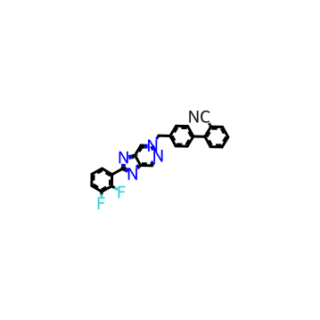 N#Cc1ccccc1-c1ccc(Cn2cc3nc(-c4cccc(F)c4F)nc-3cn2)cc1